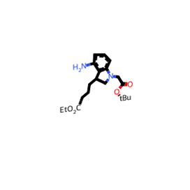 CCOC(=O)CCCC1CN(CC(=O)OC(C)(C)C)c2cccc(N)c21